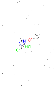 Cc1nc(CCl)cn1COCC[Si](C)(C)C.Cl